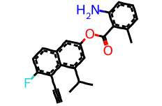 C#Cc1c(F)ccc2cc(OC(=O)c3c(C)cccc3N)cc(C(C)C)c12